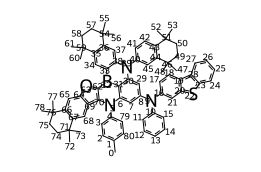 Cc1ccc(N2c3cc(N(c4ccccc4)c4ccc5c(c4)sc4ccccc45)cc4c3B(c3cc5c(cc3N4c3ccc4c(c3)C(C)(C)CCC4(C)C)C(C)(C)CCC5(C)C)c3oc4cc5c(cc4c32)C(C)(C)CCC5(C)C)cc1